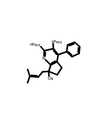 CCCCCc1nc2c(c(-c3ccccc3)c1CCCCC)CCC2(C#N)CC=C(C)C